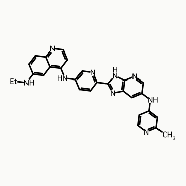 CCNc1ccc2nccc(Nc3ccc(-c4nc5cc(Nc6ccnc(C)c6)cnc5[nH]4)nc3)c2c1